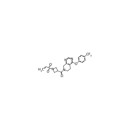 C=CS(=O)(=O)N1CC(C(=O)N2CCc3c(ncnc3Oc3ccc(C(F)(F)F)cc3)C2)C1